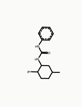 CC1CCC(C(C)C)C(NC(=O)Nc2ccccc2)C1